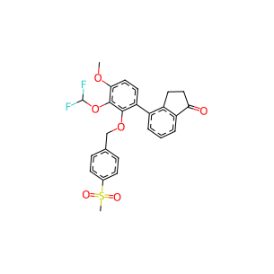 COc1ccc(-c2cccc3c2CCC3=O)c(OCc2ccc(S(C)(=O)=O)cc2)c1OC(F)F